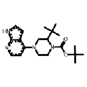 CC(C)(C)OC(=O)N1CCN(c2ccnc3[nH]ccc23)CC1C(C)(C)C